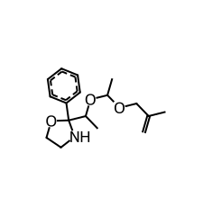 C=C(C)COC(C)OC(C)C1(c2ccccc2)NCCO1